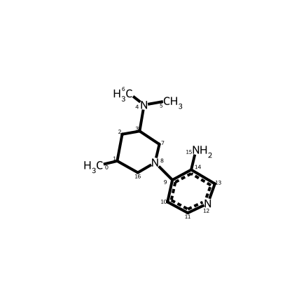 CC1CC(N(C)C)CN(c2ccncc2N)C1